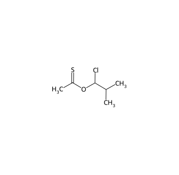 CC(=S)OC(Cl)C(C)C